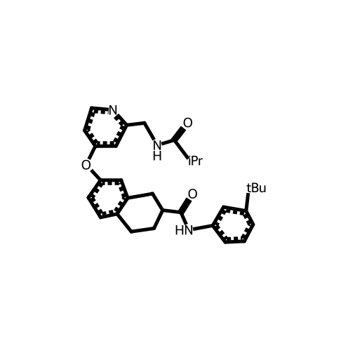 CC(C)C(=O)NCc1cc(Oc2ccc3c(c2)CC(C(=O)Nc2cccc(C(C)(C)C)c2)CC3)ccn1